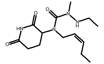 CC/C=C\CN(C(=O)N(C)NCC)C1CCC(=O)NC1=O